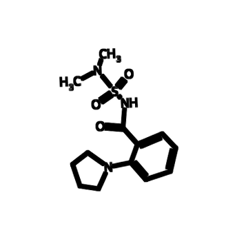 CN(C)S(=O)(=O)NC(=O)c1ccccc1N1CCCC1